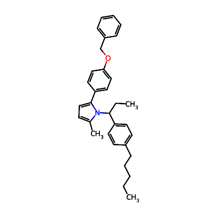 CCCCCc1ccc(C(CC)n2c(C)ccc2-c2ccc(OCc3ccccc3)cc2)cc1